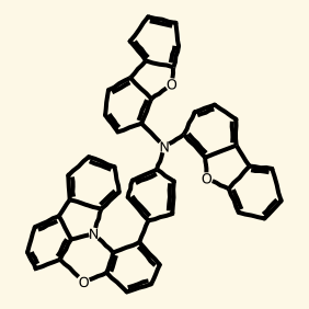 c1cc2c(c(-c3ccc(N(c4cccc5c4oc4ccccc45)c4cccc5c4oc4ccccc45)cc3)c1)-n1c3ccccc3c3cccc(c31)O2